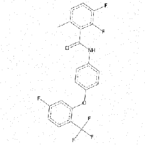 Cc1ccc(F)c(F)c1C(=O)Nc1ccc(Oc2cc(F)ccc2C(F)(F)F)cc1